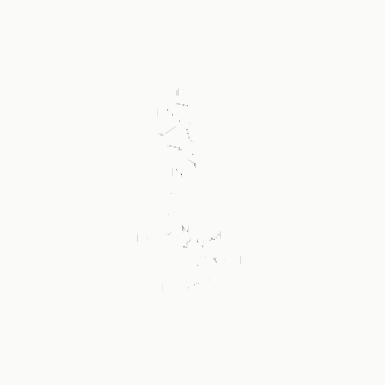 CC(C)C(=O)Nc1ccc(C(=O)NCCCC[C@H](NC(=O)N(O)[C@@H](CCC(=O)O)C(=O)O)C(=O)O)cc1